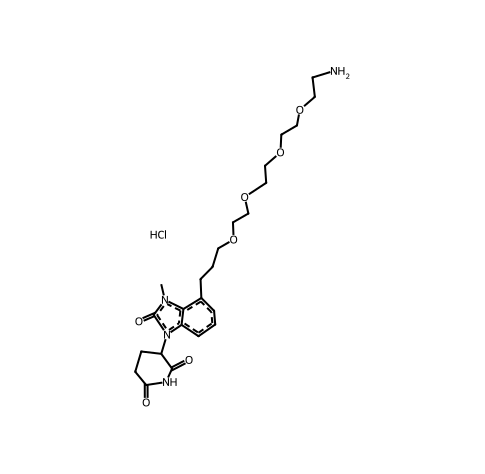 Cl.Cn1c(=O)n(C2CCC(=O)NC2=O)c2cccc(CCCOCCOCCOCCOCCN)c21